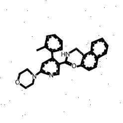 Cc1ccccc1-c1cc(N2CCOCC2)ncc1C(=O)NCc1c(C)ccc2ccccc12